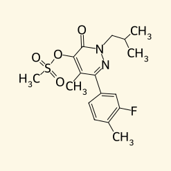 Cc1ccc(-c2nn(CC(C)C)c(=O)c(OS(C)(=O)=O)c2C)cc1F